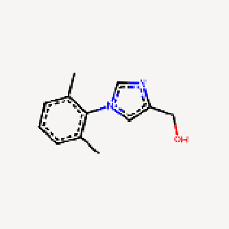 Cc1cccc(C)c1-n1cnc(CO)c1